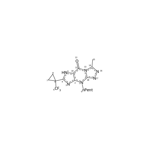 CCCCCn1c2nc(C3(C(F)(F)F)CC3)[nH]c2c(=O)n2c(C)nnc12